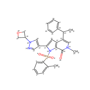 Cc1ccccc1S(=O)(=O)n1c(-c2cnn(C3COC3)c2)cc2c(C(C)c3ccccc3)cn(C)c(=O)c21